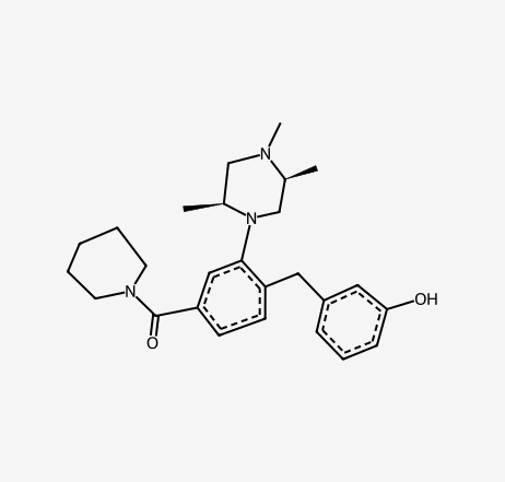 C[C@H]1CN(c2cc(C(=O)N3CCCCC3)ccc2Cc2cccc(O)c2)[C@@H](C)CN1C